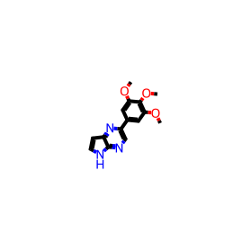 COc1cc(-c2cnc3[nH]ccc3n2)cc(OC)c1OC